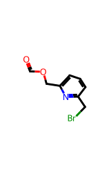 O=COCc1cccc(CBr)n1